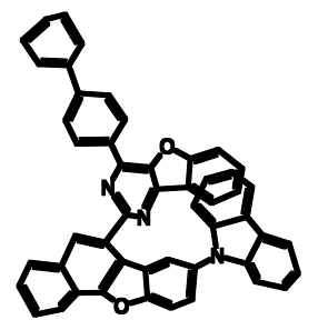 c1ccc(-c2ccc(-c3nc(-c4cc5ccccc5c5oc6ccc(-n7c8ccccc8c8ccccc87)cc6c45)nc4c3oc3ccccc34)cc2)cc1